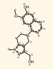 COc1cc2c(N3CCc4c(c(CO)nn4C)C3)ncnc2cc1O